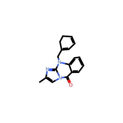 Cc1cn2c(=O)c3ccccc3n(CC3=CC=CCC3)c2n1